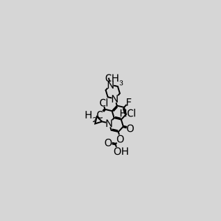 C=C(Cl)c1c(N2CCN(C)CC2)c(F)cc2c(=O)c(OC(=O)O)cn(C3CC3)c12.Cl